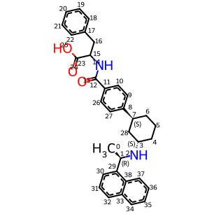 C[C@@H](N[C@H]1CCC[C@H](c2ccc(C(=O)NC(Cc3ccccc3)C(=O)O)cc2)C1)c1cccc2ccccc12